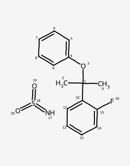 CC(C)(Oc1ccccc1)c1ccccc1F.N=S(=O)=O